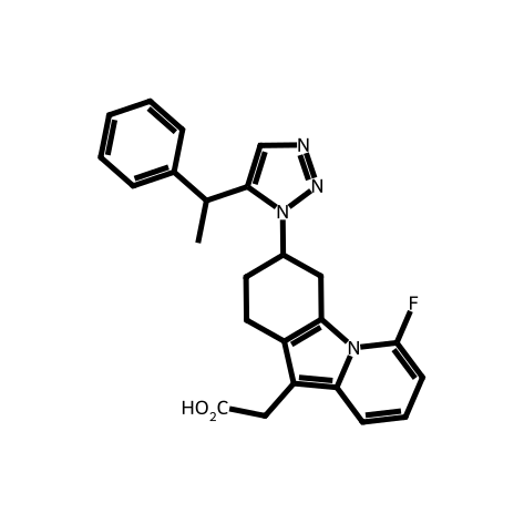 CC(c1ccccc1)c1cnnn1C1CCc2c(CC(=O)O)c3cccc(F)n3c2C1